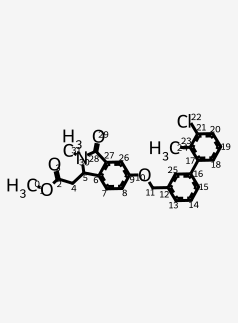 COC(=O)CC1c2ccc(OCc3cccc(-c4cccc(Cl)c4C)c3)cc2C(=O)N1C